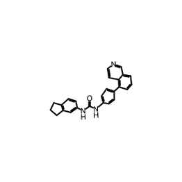 O=C(Nc1ccc(-c2cccc3cnccc23)cc1)Nc1ccc2c(c1)CCC2